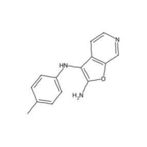 Cc1ccc(Nc2c(N)oc3cnccc23)cc1